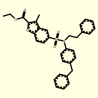 CCOC(=O)c1oc2ccc(S(=O)(=O)N(CCc3ccccc3)c3ccc(Cc4ccccc4)cc3)cc2c1C